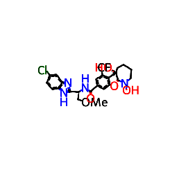 COC[C@H](NC(=O)c1ccc(C2(O)CCCCN(O)C2=O)c(C(F)(F)F)c1)c1nc2cc(Cl)ccc2[nH]1